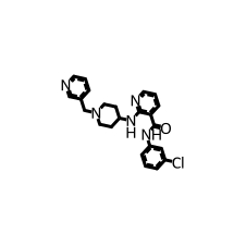 O=C(Nc1cccc(Cl)c1)c1cccnc1NC1CCN(Cc2cccnc2)CC1